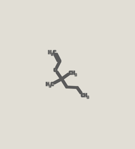 C=COC(C)(C)CCC